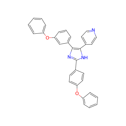 c1ccc(Oc2ccc(-c3nc(-c4cccc(Oc5ccccc5)c4)c(-c4ccncc4)[nH]3)cc2)cc1